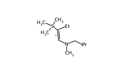 CC/C(=C\N(C)CC(C)C)[Si](C)(C)C